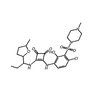 CCC(Nc1c(Nc2ccc(Cl)c(S(=O)(=O)N3CCN(C)CC3)c2O)c(=O)c1=O)C1CCC(C)O1